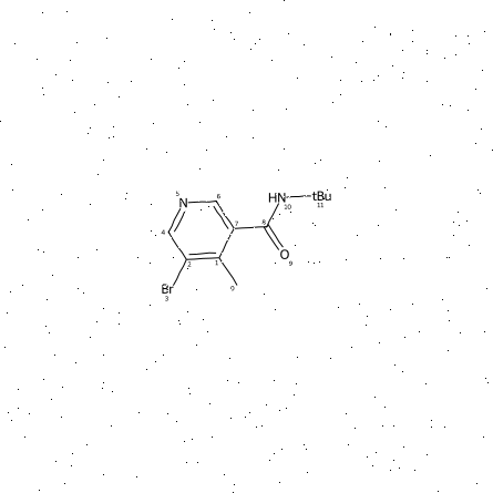 Cc1c(Br)cncc1C(=O)NC(C)(C)C